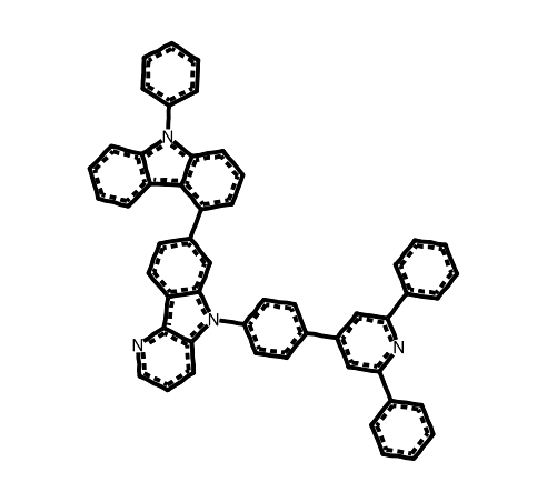 c1ccc(-c2cc(-c3ccc(-n4c5cc(-c6cccc7c6c6ccccc6n7-c6ccccc6)ccc5c5ncccc54)cc3)cc(-c3ccccc3)n2)cc1